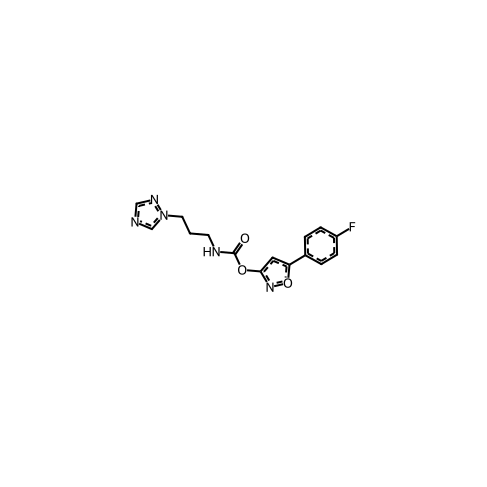 O=C(NCCCn1cncn1)Oc1cc(-c2ccc(F)cc2)on1